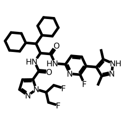 Cc1n[nH]c(C)c1-c1ccc(NC(=O)C(NC(=O)c2ccnn2C(CF)CF)C(C2CCCCC2)C2CCCCC2)nc1F